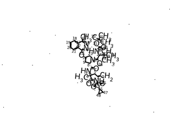 C=CC[C@@](C)(NC(=O)[C@@H]1C[C@@H](Oc2nnc(Cl)c3ccccc23)CN1C(=O)[C@@H](NC(=O)OC(C)(C)C)C(C)(C)C)C(=O)NS(=O)(=O)C1CC1